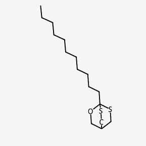 CCCCCCCCCCCC12OCC(CS1)CS2